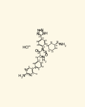 Cc1nc(N)ncc1-c1cccc(C[C@H](N)C(=O)N(c2ccc(-c3nnn[nH]3)cc2)C(=O)[C@H]2CC[C@H](CN)CC2)c1.Cl